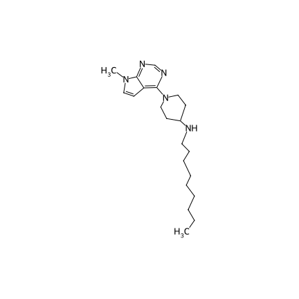 CCCCCCCCCNC1CCN(c2ncnc3c2ccn3C)CC1